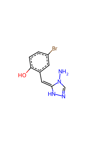 NN1C=NNC1=Cc1cc(Br)ccc1O